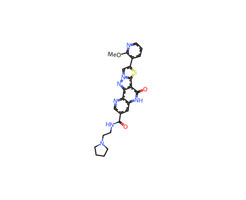 COc1ncccc1-c1cn2nc3c4ncc(C(=O)NCCN5CCCC5)cc4[nH]c(=O)c3c2s1